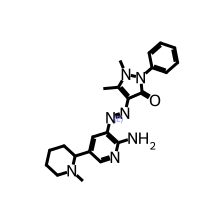 Cc1c(/N=N/c2cc(C3CCCCN3C)cnc2N)c(=O)n(-c2ccccc2)n1C